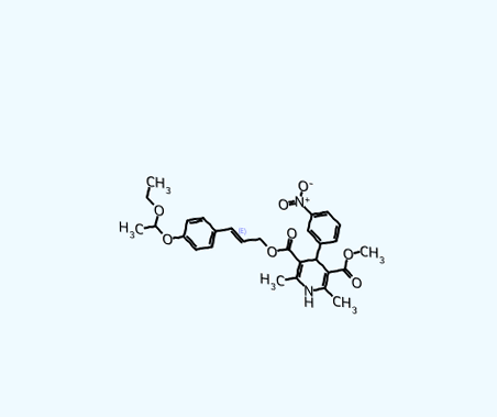 CCOC(C)Oc1ccc(/C=C/COC(=O)C2=C(C)NC(C)=C(C(=O)OC)C2c2cccc([N+](=O)[O-])c2)cc1